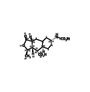 CCOC(=O)N[C@@H]1CC[C@@H]2C(C1)C[C@H]1C(=O)O[C@H](C)[C@H]1[C@H]2C(=O)O